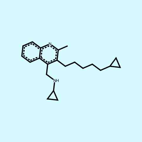 Cc1nc2ccccc2c(CNC2CC2)c1CCCCCC1CC1